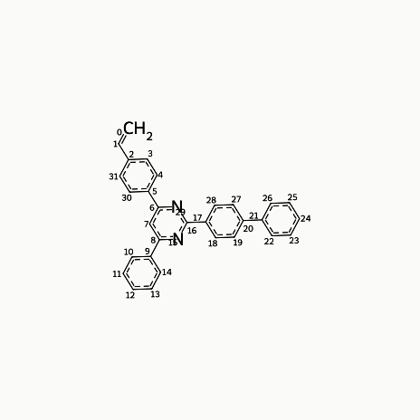 C=Cc1ccc(-c2cc(-c3ccccc3)nc(-c3ccc(-c4ccccc4)cc3)n2)cc1